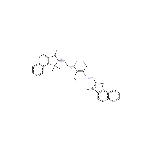 CN1/C(=C/C=C2\CCCC(/C=C/C3=[N+](C)c4ccc5ccccc5c4C3(C)C)=C2CI)C(C)(C)c2c1ccc1ccccc21